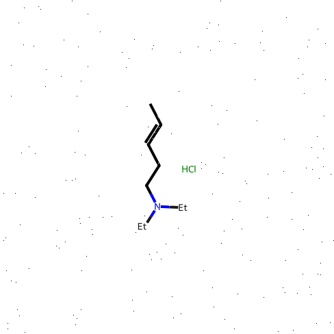 C/C=C/CCN(CC)CC.Cl